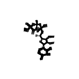 O=c1ccn([C@@H]2O[C@H]([C@H](F)OP(=O)(O)OP(=O)(O)OP(=O)(O)O)[C@@H](O)[C@H]2O)c(=O)[nH]1